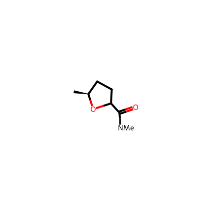 CNC(=O)C1CC[C@H](C)O1